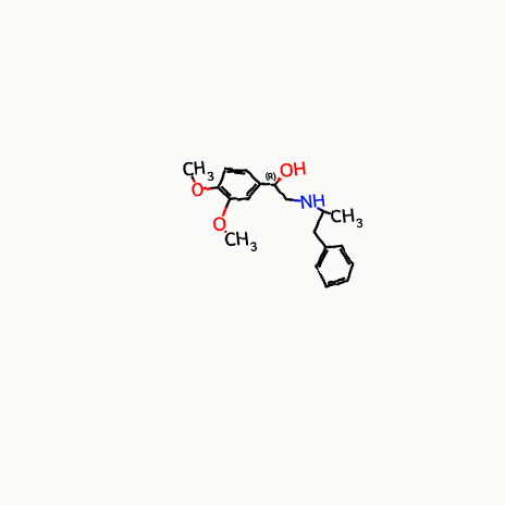 COc1ccc([C@@H](O)CNC(C)Cc2ccccc2)cc1OC